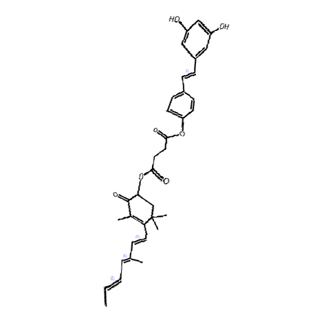 C/C=C/C=C(C)/C=C/C1=C(C)C(=O)C(OC(=O)CCC(=O)Oc2ccc(/C=C/c3cc(O)cc(O)c3)cc2)CC1(C)C